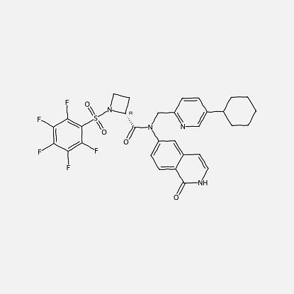 O=C([C@H]1CCN1S(=O)(=O)c1c(F)c(F)c(F)c(F)c1F)N(Cc1ccc(C2CCCCC2)cn1)c1ccc2c(=O)[nH]ccc2c1